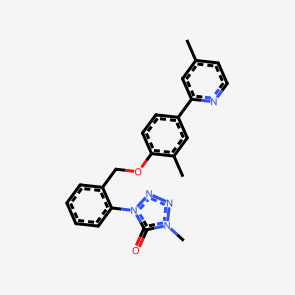 Cc1ccnc(-c2ccc(OCc3ccccc3-n3nnn(C)c3=O)c(C)c2)c1